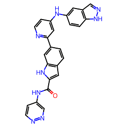 O=C(Nc1ccnnc1)c1cc2ccc(-c3cc(Nc4ccc5[nH]ncc5c4)ccn3)cc2[nH]1